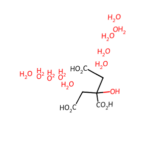 O.O.O.O.O.O.O.O.O.O.O=C(O)CC(O)(CC(=O)O)C(=O)O